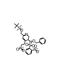 CC(C)(C)[Si](C)(C)OCC1=NCC(N(OCc2ccccc2)S(=O)(=O)c2ccccc2[N+](=O)[O-])C(CC[N+](=O)[O-])=C1